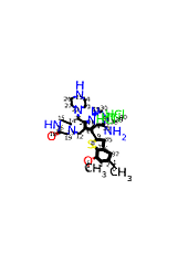 CCc1cc(OC)c2sc(-c3c(CN4CCNC(=O)C4)c(CN4CCNCC4)n4ncnc(N)c34)cc2c1.Cl.Cl.Cl